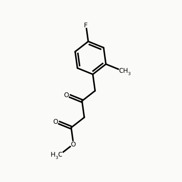 COC(=O)CC(=O)Cc1ccc(F)cc1C